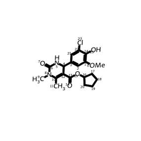 COc1cc(C2NC(=O)N(C)C(C)=C2C(=O)OC2CCCC2)cc(Cl)c1O